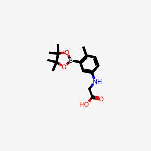 Cc1ccc(NCC(=O)O)cc1B1OC(C)(C)C(C)(C)O1